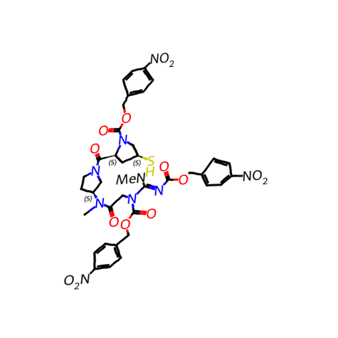 CNC(=NC(=O)OCc1ccc([N+](=O)[O-])cc1)N(CC(=O)N(C)[C@H]1CCN(C(=O)[C@@H]2C[C@H](S)CN2C(=O)OCc2ccc([N+](=O)[O-])cc2)C1)C(=O)OCc1ccc([N+](=O)[O-])cc1